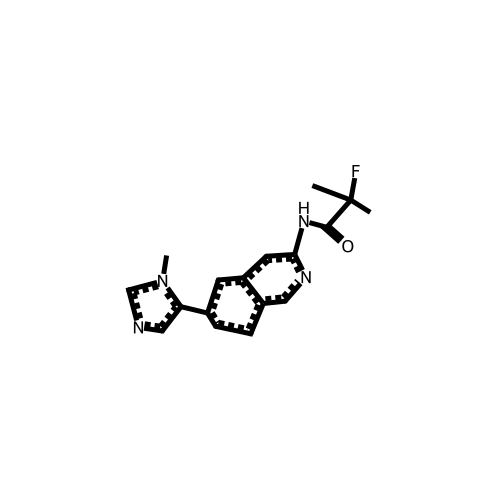 Cn1cncc1-c1ccc2cnc(NC(=O)C(C)(C)F)cc2c1